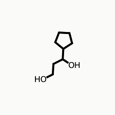 OCCC(O)C1CCCC1